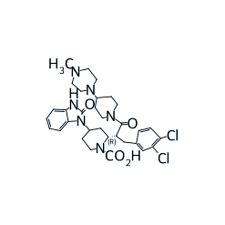 CN1CCN(C2CCN(C(=O)C(Cc3ccc(Cl)c(Cl)c3)[C@H]3CC(n4c(=O)[nH]c5ccccc54)CCN3C(=O)O)CC2)CC1